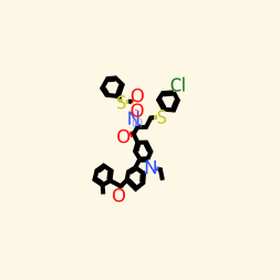 CCn1c2ccc(C(=O)/C(CCSc3ccc(Cl)cc3)=N/OC(=O)Sc3ccccc3)cc2c2cc(C(=O)c3ccccc3C)ccc21